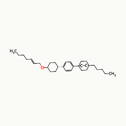 CCCC/C=C/CO[C@H]1CC[C@H](c2ccc(C34CCC(CCCCC)(CC3)CC4)cc2)CC1